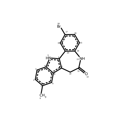 Cc1ccc2[nH]c3c(c2c1)CC(=O)Nc1ccc(Br)cc1-3